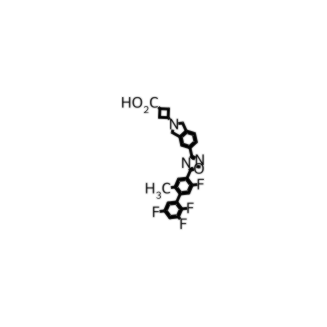 Cc1cc(-c2nc(-c3ccc4c(c3)CN(C3CC(C(=O)O)C3)C4)no2)c(F)cc1-c1cc(F)cc(F)c1F